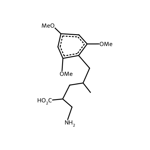 COc1cc(OC)c(CC(C)CC(CN)C(=O)O)c(OC)c1